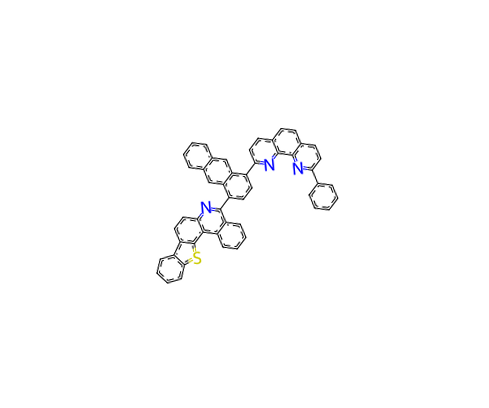 c1ccc(-c2ccc3ccc4ccc(-c5ccc(-c6nc7ccc8c9ccccc9sc8c7c7ccccc67)c6cc7ccccc7cc56)nc4c3n2)cc1